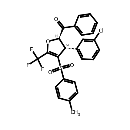 Cc1ccc(S(=O)(=O)C2=C(C(F)(F)F)O[C@@H](C(=O)c3ccccc3)[C@@H]2c2cccc(Cl)c2)cc1